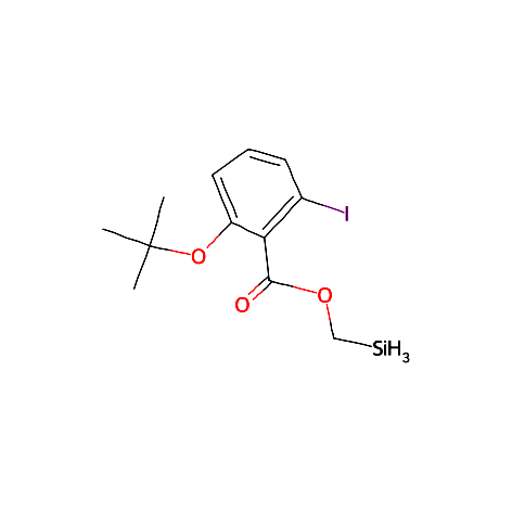 CC(C)(C)Oc1cccc(I)c1C(=O)OC[SiH3]